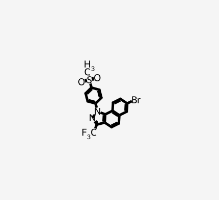 CS(=O)(=O)c1ccc(-n2nc(C(F)(F)F)c3ccc4cc(Br)ccc4c32)cc1